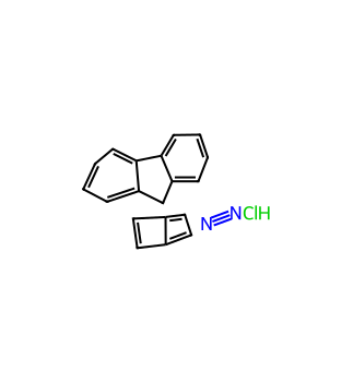 Cl.N#N.c1cc2ccc1-2.c1ccc2c(c1)Cc1ccccc1-2